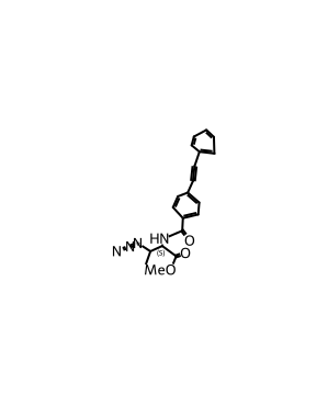 COC(=O)[C@@H](NC(=O)c1ccc(C#Cc2ccccc2)cc1)C(C)N=[N+]=[N-]